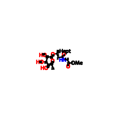 CCCCCCCC(CC(=O)NCC(=O)OC)O[C@@H]1O[C@@H](C)[C@H](O)[C@@H](O)[C@H]1O